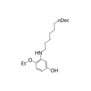 CCCCCCCCCCCCCCCCNc1cc(O)ccc1OCC